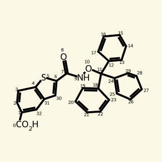 O=C(O)c1ccc2sc(C(=O)NOC(c3ccccc3)(c3ccccc3)c3ccccc3)cc2c1